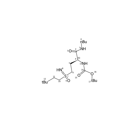 CCCCNC(=O)[C@H](CCS(=N)(=O)CCC(C)(C)C)NC(=O)OC(C)(C)C